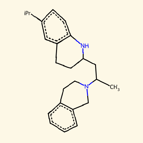 CC(C)c1ccc2c(c1)CCC(CC(C)N1CCc3ccccc3C1)N2